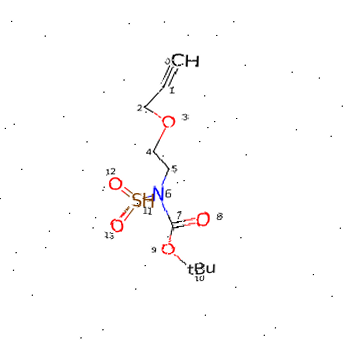 C#CCOCCN(C(=O)OC(C)(C)C)[SH](=O)=O